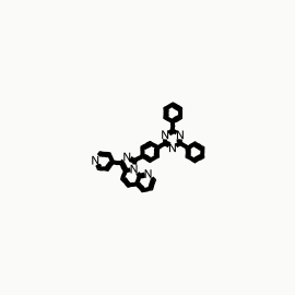 c1ccc(-c2nc(-c3ccccc3)nc(-c3ccc(-c4nc(-c5ccncc5)c5ccc6cccnc6n45)cc3)n2)cc1